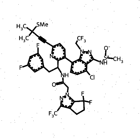 CSC(C)(C)C#Cc1ccc(-c2ccc(Cl)c3c(N[S+](C)[O-])nn(CC(F)(F)F)c23)c(C(Cc2cc(F)cc(F)c2)NC(=O)Cn2nc(C(F)(F)F)c3c2C(F)(F)CC3)n1